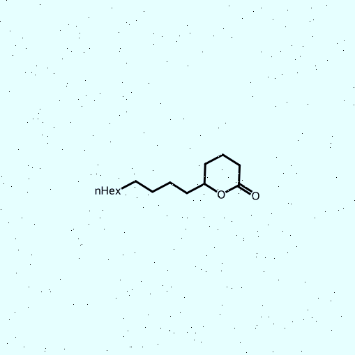 CCCCCCCCCCC1CCCC(=O)O1